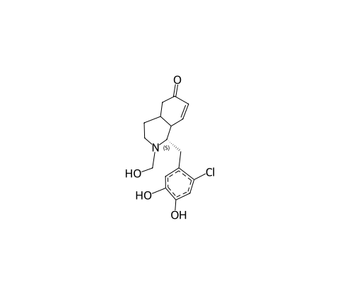 O=C1C=CC2C(CCN(CO)[C@H]2Cc2cc(O)c(O)cc2Cl)C1